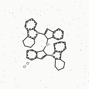 C1=C(n2c3c(c4ccccc42)CCCC3)[CH]([Ti+2][CH]2C(n3c4c(c5ccccc53)CCCC4)=Cc3ccccc32)c2ccccc21.[Cl-].[Cl-]